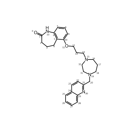 O=C1CCCc2c(cccc2OCCCN2CCCN(Cc3ccc4ccccc4n3)CC2)N1